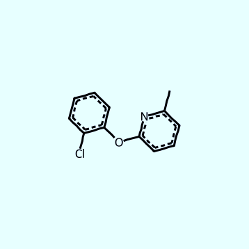 Cc1cccc(Oc2ccccc2Cl)n1